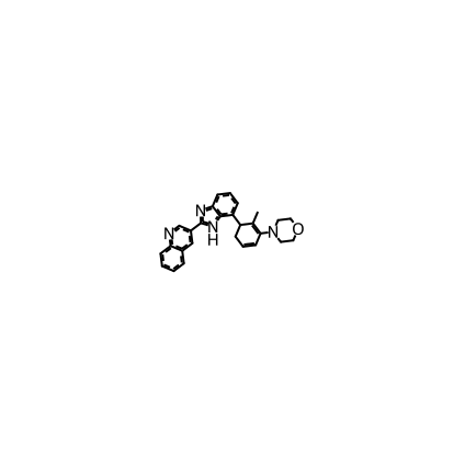 CC1=C(N2CCOCC2)C=CCC1c1cccc2nc(-c3cnc4ccccc4c3)[nH]c12